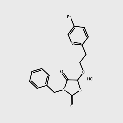 CCc1ccc(CCOC2SC(=O)N(Cc3ccccc3)C2=O)nc1.Cl